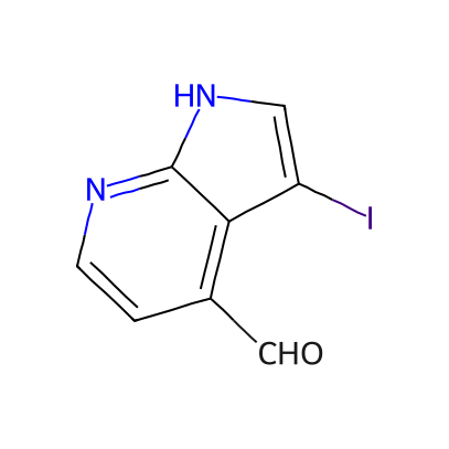 O=Cc1ccnc2[nH]cc(I)c12